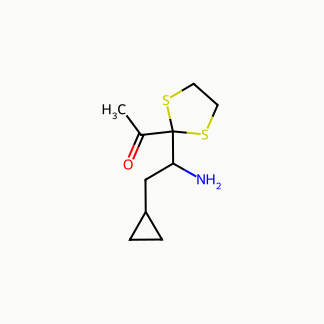 CC(=O)C1(C(N)CC2CC2)SCCS1